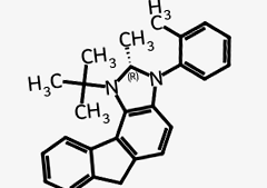 Cc1ccccc1N1c2ccc3c(c2N(C(C)(C)C)[C@@H]1C)-c1ccccc1C3